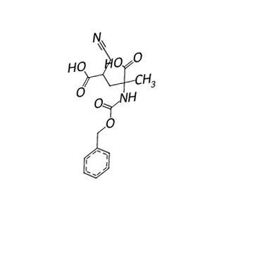 CC(CC(CC#N)C(=O)O)(NC(=O)OCc1ccccc1)C(=O)O